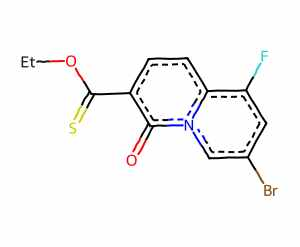 CCOC(=S)c1ccc2c(F)cc(Br)cn2c1=O